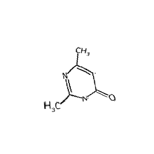 CC1=[C]C(=O)[N]C(C)=N1